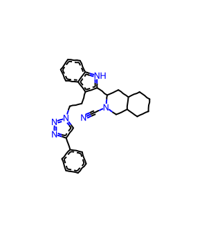 N#CN1CC2CCCCC2CC1c1[nH]c2ccccc2c1CCn1cc(-c2ccccc2)nn1